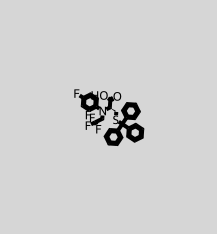 O=C(O)[C@H](CSC(c1ccccc1)(c1ccccc1)c1ccccc1)N(CC(F)(F)F)c1ccc(F)cc1F